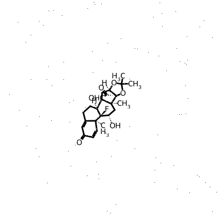 CC1(C)O[C@@H]2CC3[C@@H]4CCC5=CC(=O)C=C[C@]5(C)[C@@]4(F)[C@@H](O)C[C@]3(C)[C@]2(C(=O)C=O)O1